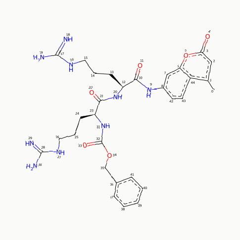 Cc1cc(=O)oc2cc(NC(=O)[C@H](CCCNC(=N)N)NC(=O)[C@H](CCCNC(=N)N)NC(=O)OCc3ccccc3)ccc12